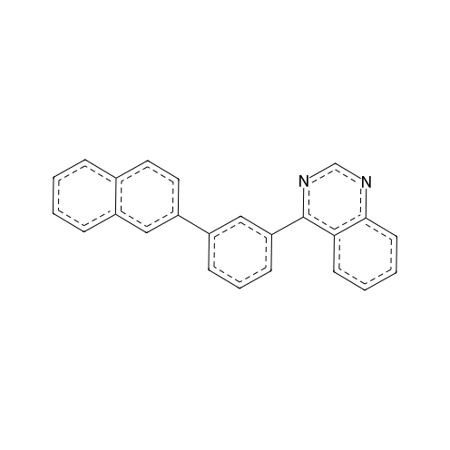 c1cc(-c2ccc3ccccc3c2)cc(-c2ncnc3ccccc23)c1